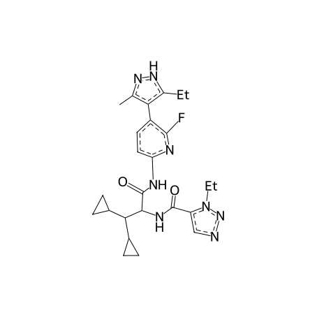 CCc1[nH]nc(C)c1-c1ccc(NC(=O)C(NC(=O)c2cnnn2CC)C(C2CC2)C2CC2)nc1F